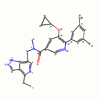 CN(Cc1cnc(CF)c2cn[nH]c12)C(=O)c1cnc(-c2cc(F)cc(C#N)c2)c(OC2CC2)c1